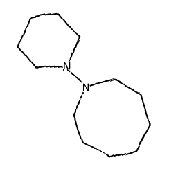 C1CCCN(N2CCCCC2)CCC1